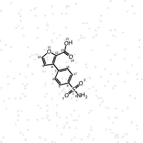 NS(=O)(=O)c1ccc(-c2ccoc2C(=O)O)cc1